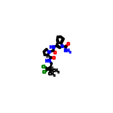 CC1(C)[C@H](CNC(=O)[C@@H]2CCCN2C(=O)Nc2cn(C(N)=O)c3ccccc23)C1(Cl)Cl